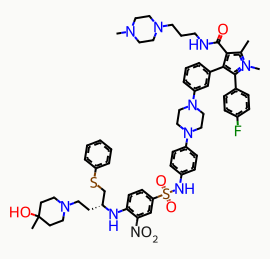 Cc1c(C(=O)NCCCN2CCN(C)CC2)c(-c2cccc(N3CCN(c4ccc(NS(=O)(=O)c5ccc(N[C@H](CCN6CCC(C)(O)CC6)CSc6ccccc6)c([N+](=O)[O-])c5)cc4)CC3)c2)c(-c2ccc(F)cc2)n1C